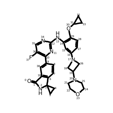 O=C1NC2(CC2)c2ccc(-c3nc(Nc4cc(N5CC(N6CCOCC6)C5)ccc4OC4CC4)ncc3F)cc21